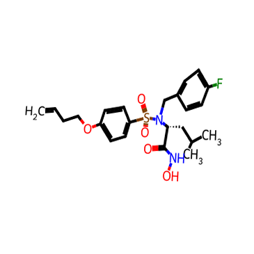 C=CCCOc1ccc(S(=O)(=O)N(Cc2ccc(F)cc2)[C@H](CC(C)C)C(=O)NO)cc1